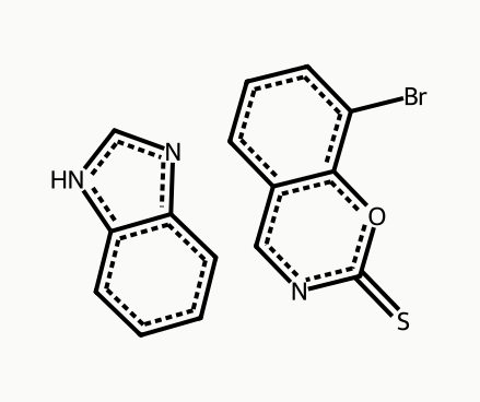 S=c1ncc2cccc(Br)c2o1.c1ccc2[nH]cnc2c1